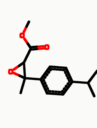 COC(=O)C1OC1(C)c1ccc(C(C)C)cc1